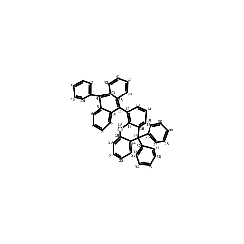 c1ccc(-c2c3ccccc3c(-c3cccc4c3Oc3ccccc3C4(c3ccccc3)c3ccccc3)c3ccccc23)cc1